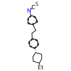 CC[C@H]1CC[C@H](c2ccc(CCc3ccc(N=C=S)cc3)cc2)CC1